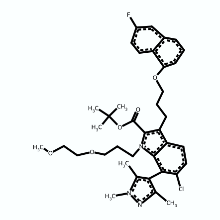 COCCOCCCn1c(C(=O)OC(C)(C)C)c(CCCOc2cccc3cc(F)ccc23)c2ccc(Cl)c(-c3c(C)nn(C)c3C)c21